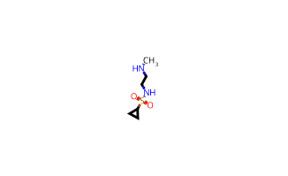 CNCCNS(=O)(=O)C1CC1